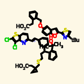 CC(C)(C)c1csc(-c2cc3cc(OCc4ccccc4CC(=O)O)ccc3o2)n1.CC(C)(O)c1ccccc1C(CCSCC1(CC(=O)O)CC1)c1cccc(/C=C/c2ccc3sc(Cl)c(Cl)c3n2)c1